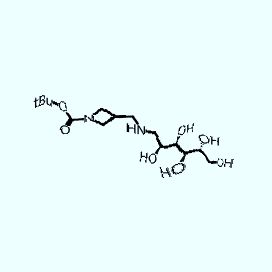 CC(C)(C)OC(=O)N1CC(CNC[C@H](O)[C@@H](O)[C@H](O)[C@H](O)CO)C1